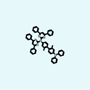 Cc1cc(N(c2ccccc2)c2ccccc2)ccc1-c1ccc(N(c2nc(-c3ccccc3)cc(-c3ccccc3)n2)c2nc(-c3ccccc3)cc(-c3ccccc3)n2)cc1C